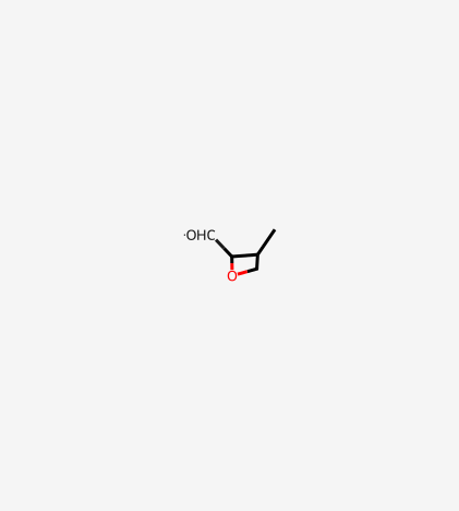 CC1COC1[C]=O